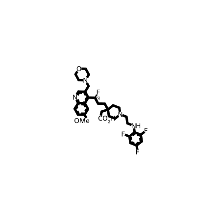 COc1ccc2ncc(CN3CCOCC3)c([C@@H](F)CCC3(CC(=O)O)CCN(CCNc4c(F)cc(F)cc4F)CC3)c2c1